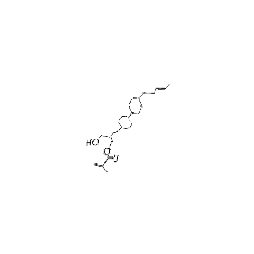 C=C(C)C(=O)OCC(CO)CCC1CCC(C2CCC(CC/C=C/C)CC2)CC1